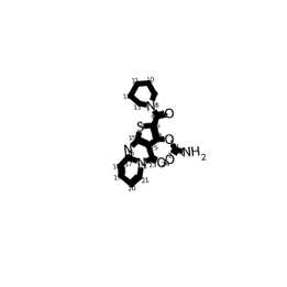 NC(=O)Oc1c(C(=O)N2CCCCC2)sc2nc3ccccn3c(=O)c12